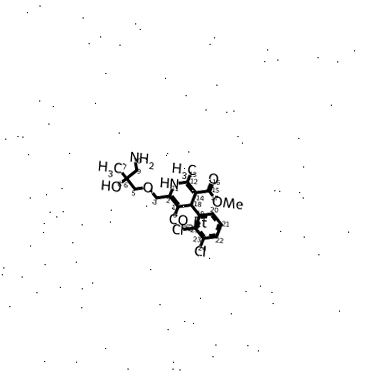 CCOC(=O)C1=C(COCC(C)(O)CN)NC(C)=C(C(=O)OC)C1c1cccc(Cl)c1Cl